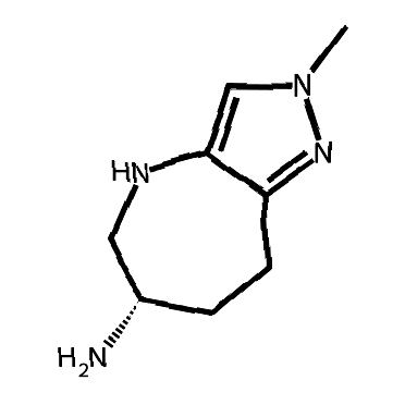 Cn1cc2c(n1)CC[C@H](N)CN2